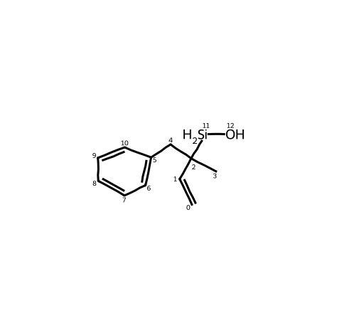 C=CC(C)(Cc1ccccc1)[SiH2]O